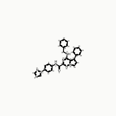 O=C(Nc1ccc(-n2cncn2)cc1)c1nc(NCc2ccccc2)c2c(-c3ccccc3)ccn2n1